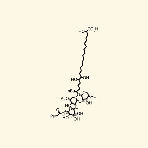 CCCCC(CCCC(O)C(O)CCCCCCCCCCCCCCC(O)C(=O)O)O[C@@H]1OC[C@@H](O)[C@H](O)[C@H]1O[C@@H]1OC[C@@H](OC(C)=O)[C@H](O)[C@H]1O[C@@H]1O[C@H](COC(=O)CC(C)C)[C@@H](O)[C@H](O)[C@H]1O